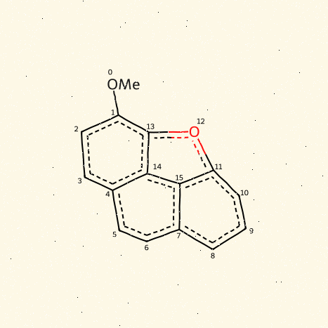 COc1ccc2ccc3cccc4oc1c2c34